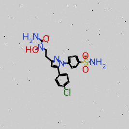 NC(=O)N(O)CCc1cc(-c2ccc(Cl)cc2)n(-c2ccc(S(N)(=O)=O)cc2)n1